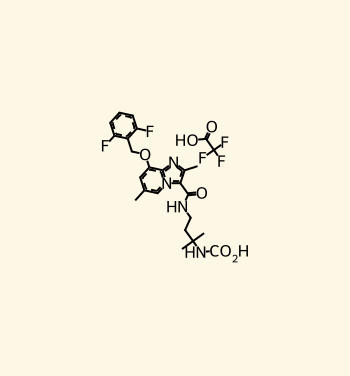 Cc1cc(OCc2c(F)cccc2F)c2nc(C)c(C(=O)NCCC(C)(C)NC(=O)O)n2c1.O=C(O)C(F)(F)F